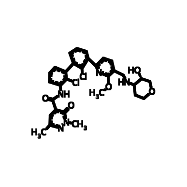 COc1nc(-c2cccc(-c3cccc(NC(=O)c4cc(C)nn(C)c4=O)c3Cl)c2Cl)ccc1CNC1CCOC[C@@H]1O